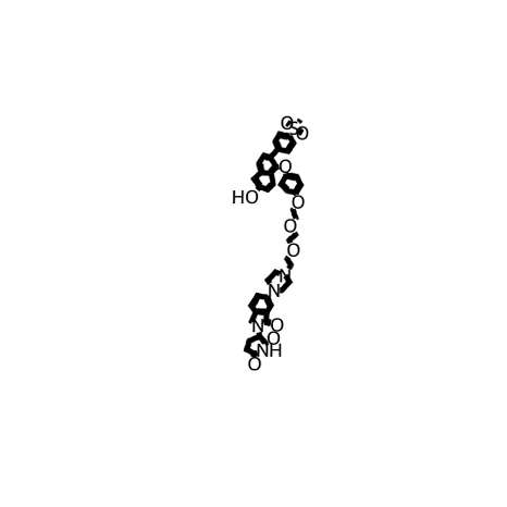 CS(=O)(=O)c1ccc(-c2ccc3cc(O)ccc3c2Oc2ccc(OCCOCCOCCN3CCN(c4ccc5c(c4)C(=O)N(C4CCC(=O)NC4=O)C5)CC3)cc2)cc1